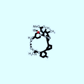 COC(=O)[C@@H](OC(C)(C)C)c1c(C)c(C)c2nc3c(Cl)n2c1N1CCC(C)(CC1)OCCOC[C@H](C)Oc1ccc(F)cc1-c1cccc-3c1